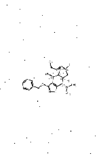 CN(C)[C@@H]1c2onc(OCc3ccccc3)c2[C@@H](O)[C@]23O[C@H](C=C2CO)C[C@@H]13